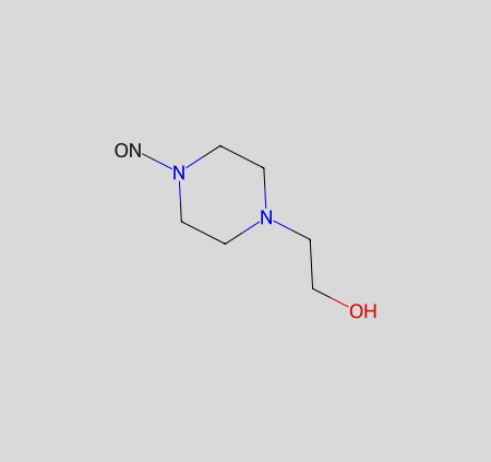 O=NN1CCN(CCO)CC1